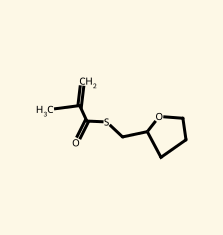 C=C(C)C(=O)SCC1CCCO1